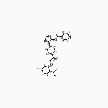 CC(C)[C@H]1CC[C@H](C)C[C@@H]1OCC(=O)N1CCN(c2nsnc2OCc2ccncc2)CC1